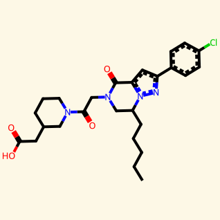 CCCCCC1CN(CC(=O)N2CCCC(CC(=O)O)C2)C(=O)c2cc(-c3ccc(Cl)cc3)nn21